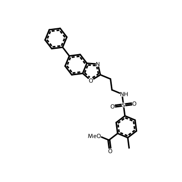 COC(=O)c1cc(S(=O)(=O)NCCc2nc3cc(-c4ccccc4)ccc3o2)ccc1C